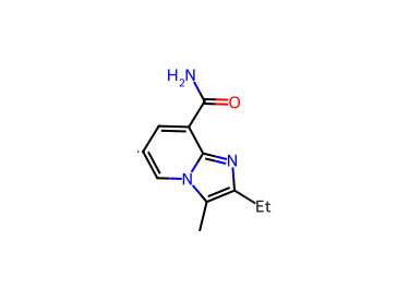 CCc1nc2c(C(N)=O)c[c]cn2c1C